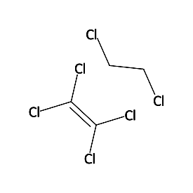 ClC(Cl)=C(Cl)Cl.ClCCCl